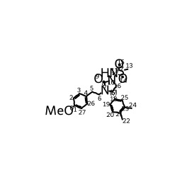 COc1ccc(CCN2C(=O)N(NS(C)(=O)=O)C[C@@H]2c2ccc(C)c(C)c2)cc1